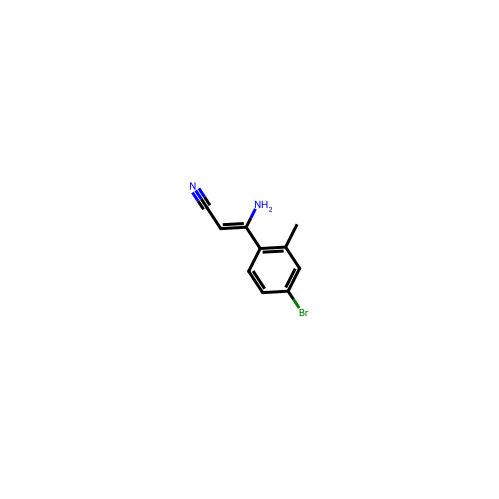 Cc1cc(Br)ccc1C(N)=CC#N